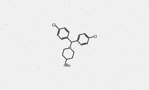 CCCCC1CCN(C(c2ccc(Cl)cc2)c2ccc(Cl)cc2)CC1